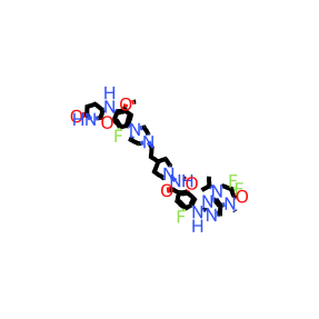 COc1cc(N2CCN(CCC3CCN(NC(=O)c4cc(F)c(Nc5ncc6c(n5)N(C(C)C)CC(F)(F)C(=O)N6C)cc4OC)CC3)CC2)c(F)cc1NC1CCC(=O)NC1=O